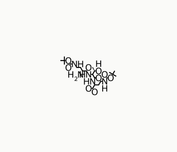 COC(=O)C(CCNC(=O)OC(C)(C)C)NC(=O)C(NC(=O)[C@@H](N)CCNC(=O)OC(C)(C)C)[C@@H](C)O